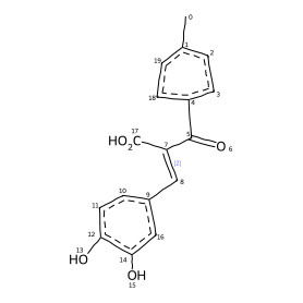 Cc1ccc(C(=O)/C(=C/c2ccc(O)c(O)c2)C(=O)O)cc1